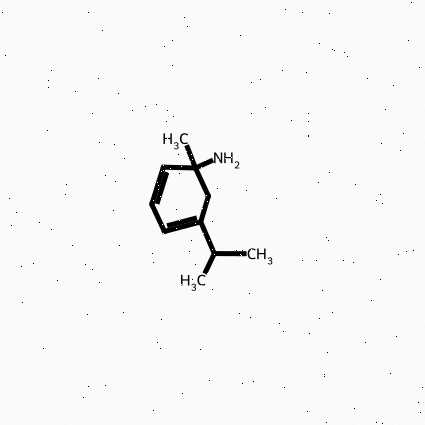 CC(C)C1=CC=CC(C)(N)C1